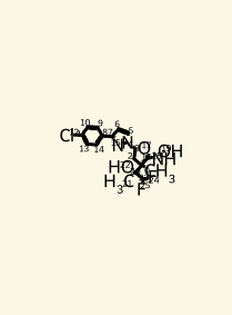 CC(CCn1ccc(-c2ccc(Cl)cc2)n1)(C(=O)NO)C(C)(O)C(F)F